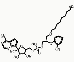 CCCCCCCCCCCCCCCCCCOC[C@H](COP(=O)(O)OCC1O[C@@](C#N)(c2ccc3c(N)ncnn23)[C@H](O)[C@@H]1O)Oc1ccccc1C#N